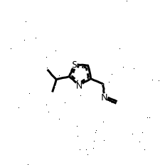 C=NCc1csc(C(C)C)n1